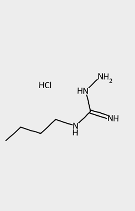 CCCCNC(=N)NN.Cl